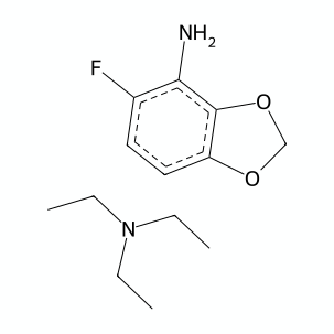 CCN(CC)CC.Nc1c(F)ccc2c1OCO2